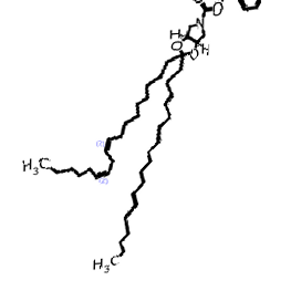 CCCCC/C=C\C/C=C\CCCCCCCCC1(CCCCCCCCCCCCCCCCCC)O[C@H]2CN(C(=O)OCc3ccccc3)C[C@@H]2O1